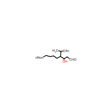 CCCCCCCCCCCCCC(C(O)CC=O)C(C)OC(C)=O